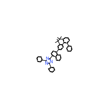 CC1(C)c2cc(-c3ccc(-c4nc(-c5ccccc5)nc(-c5ccccc5)n4)c4ccccc34)ccc2-c2c(-c3ccccc3)cccc2C1(C)C